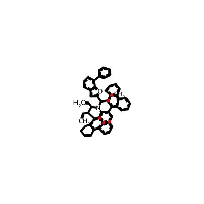 C=CCC(c1cc2cccc(-c3ccccc3)c2o1)N(c1ccccc1-c1cc2ccccc2c2ccccc12)C(C=C)C(C=C)c1cc2ccccc2c2c1CCC=C2